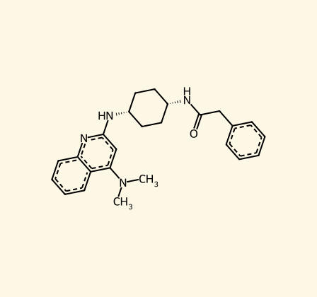 CN(C)c1cc(N[C@H]2CC[C@@H](NC(=O)Cc3ccccc3)CC2)nc2ccccc12